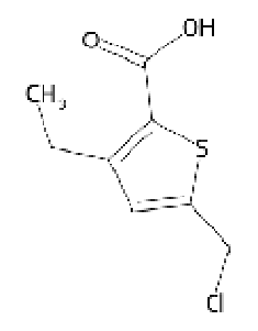 CCc1cc(CCl)sc1C(=O)O